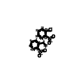 O=[N+]([O-])c1ncccc1CF.O=[N+]([O-])c1ncccc1Cl